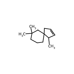 CC1C=CCC12[CH]C(C)(C)CCC2